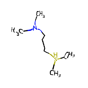 CN(C)CC[SH](C)C